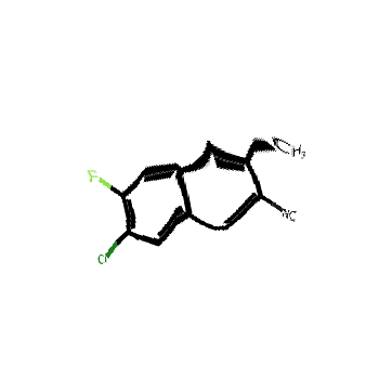 [C-]#[N+]c1cc2cc(Cl)c(F)cc2cc1C